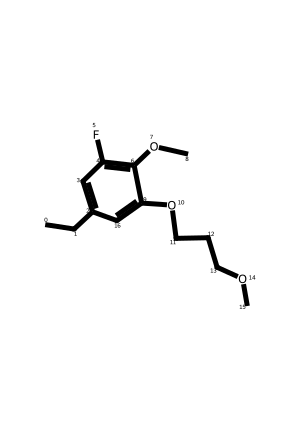 CCc1cc(F)c(OC)c(OCCCOC)c1